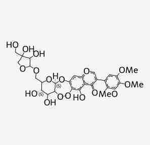 COc1cc(OC)c(-c2coc3cc4c(c(O)c3c2=O)OOC2C(O)[C@H](O)C(COC3OCC(O)(CO)C3O)O[C@H]2O4)cc1OC